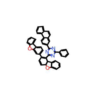 C1=CC2Oc3ccccc3C2C(c2nc(-c3ccccc3)nc(-c3ccc4c(ccc5ccccc54)c3)n2)=C1c1ccc2c(c1)oc1ccccc12